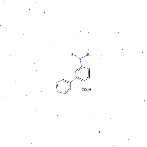 CCN(CC)c1ccc(C(=O)O)c(-c2ccccc2)c1